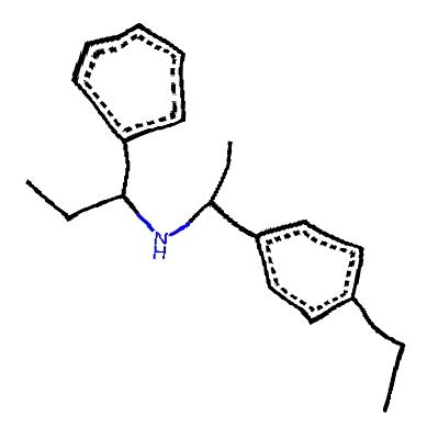 CCc1ccc(C(C)NC(CC)c2ccccc2)cc1